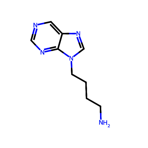 NCCCCn1cnc2cncnc21